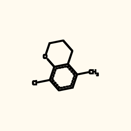 Cc1ccc(Cl)c2c1CCCO2